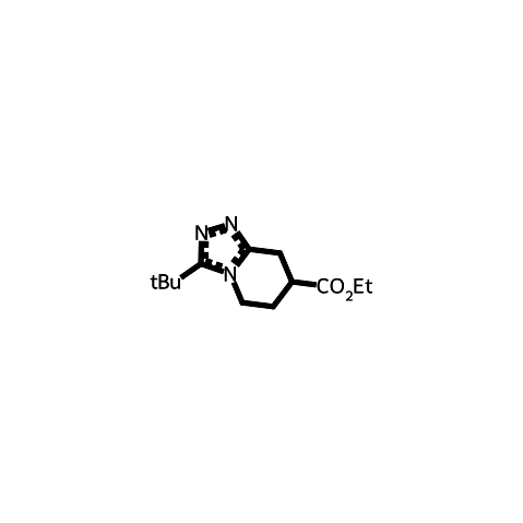 CCOC(=O)C1CCn2c(nnc2C(C)(C)C)C1